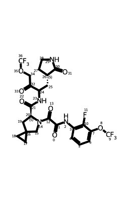 O=C(Nc1cccc(OC(F)(F)F)c1F)C(=O)N1CC2(CC2)C[C@H]1C(=O)NC(C[C@@H]1CCNC1=O)C(=O)COC(F)(F)F